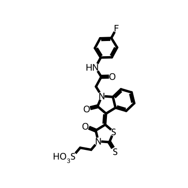 O=C(CN1C(=O)/C(=C2/SC(=S)N(CCS(=O)(=O)O)C2=O)c2ccccc21)Nc1ccc(F)cc1